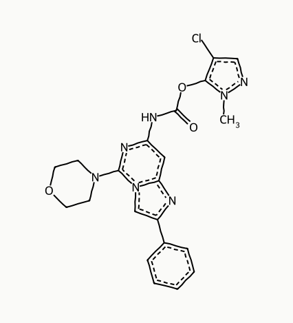 Cn1ncc(Cl)c1OC(=O)Nc1cc2nc(-c3ccccc3)cn2c(N2CCOCC2)n1